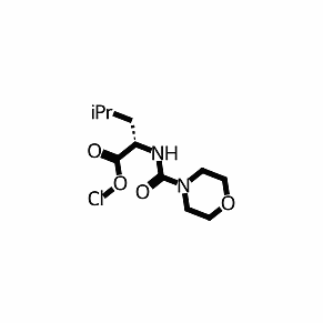 CC(C)C[C@H](NC(=O)N1CCOCC1)C(=O)OCl